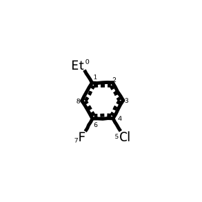 CCc1ccc(Cl)c(F)c1